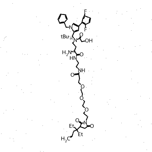 C=CCC(CC)(CC)C1CC(=O)N(CCOCCOCCOCCC(=O)NCCNC(=O)[C@@H](N)CCN(C(=O)CO)[C@@H](c2cc(-c3cc(F)ccc3F)cn2Cc2ccccc2)C(C)(C)C)C1=O